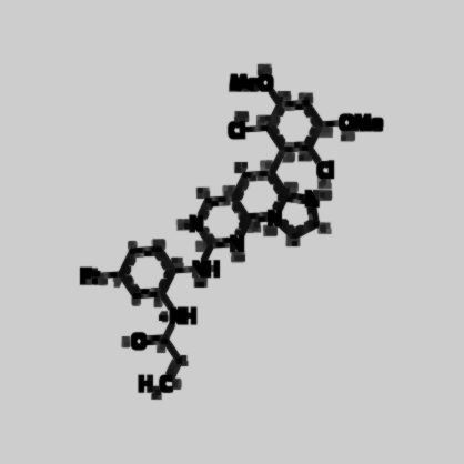 C=CC(=O)Nc1cc(CC)ccc1Nc1ncc2cc(-c3c(Cl)c(OC)cc(OC)c3Cl)c3nccn3c2n1